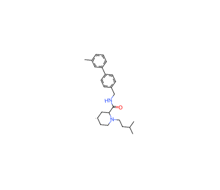 Cc1cccc(-c2ccc(CNC(=O)C3C[CH]CCN3CCC(C)C)cc2)c1